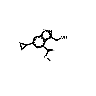 COC(=O)c1cc(C2CC2)cc2onc(CO)c12